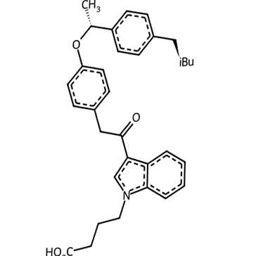 CC[C@H](C)Cc1ccc([C@@H](C)Oc2ccc(CC(=O)c3cn(CCCC(=O)O)c4ccccc34)cc2)cc1